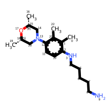 Cc1c(NCCCCCN)ccc(N2C[C@@H](C)O[C@@H](C)C2)c1C